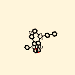 c1ccc(-c2ccc(-c3nc(-c4ccc5c(c4)oc4ccccc45)nc(-c4cccc5oc6ccc(-c7ccc8c9ccccc9n(-c9ccccc9)c8c7)cc6c45)n3)cc2)cc1